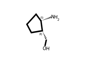 N[C@H]1CCC[C@H]1CO